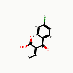 CC=C(C(=O)O)C(=O)c1ccc(F)cc1